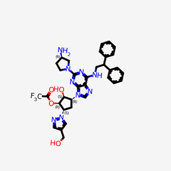 N[C@@H]1CCN(c2nc(NCC(c3ccccc3)c3ccccc3)c3ncn([C@@H]4C[C@H](n5cc(CO)cn5)[C@@H](OC(=O)C(F)(F)F)[C@H]4O)c3n2)C1